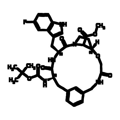 COC(=O)C1[C@@H]2CCN1C(=O)[C@H](Cc1c[nH]c3ccc(F)cc13)NC(=O)[C@@H](NC(=O)OC(C)(C)C)Cc1cccc(c1)CNC(=O)CO2